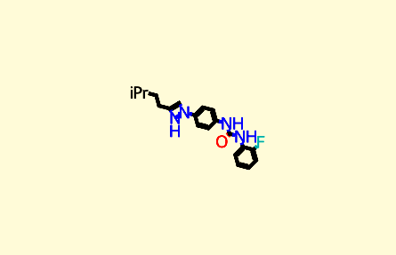 CC(C)CCc1cn(-c2ccc(NC(=O)Nc3ccccc3F)cc2)[nH]1